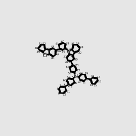 c1ccc(-c2ccc(N(c3ccc(-c4ccccc4)cc3)c3ccc(-c4ccc5c(c4)c4ccccc4n5-c4cccc(-c5ccc6oc7ccccc7c6c5)c4)cc3)cc2)cc1